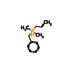 C=CC[PH](C)(C)Cc1ccccc1